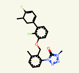 Cc1cccc(-n2nnn(C)c2=O)c1COc1cccc(C2=CC=C(F)C(C)C2)c1F